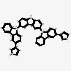 c1ccc2c(c1)c1cc(-c3ccoc3)ccc1n2-c1ccc2oc3ccc(-n4c5ccccc5c5cc(-c6ccoc6)ccc54)cc3c2c1